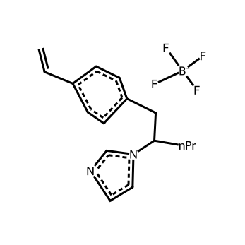 C=Cc1ccc(CC(CCC)n2ccnc2)cc1.F[B-](F)(F)F